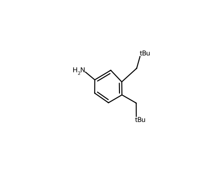 CC(C)(C)Cc1ccc(N)cc1CC(C)(C)C